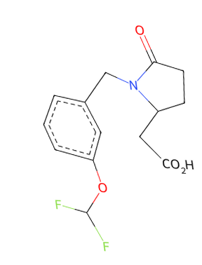 O=C(O)CC1CCC(=O)N1Cc1cccc(OC(F)F)c1